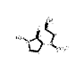 C=CCOC(=O)O.CN1CCCC1=O